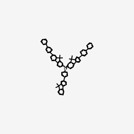 CC1(C)c2ccccc2-c2ccc(-c3ccc(N(c4ccc5c(c4)C(C)(C)c4cc(-c6ccc(-c7ccccc7)cc6)ccc4-5)c4ccc5c(c4)C(C)(C)c4cc(-c6ccc(-c7ccccc7)cc6)ccc4-5)cc3)cc21